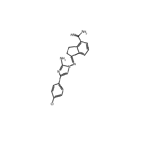 N=C(N)c1cccc2c1CC/C2=N\n1cc(-c2ccc(Cl)cc2)nc1N